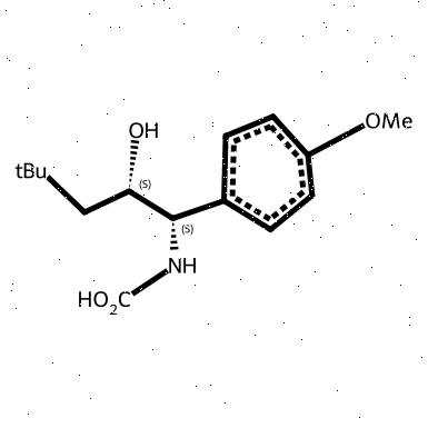 COc1ccc([C@H](NC(=O)O)[C@@H](O)CC(C)(C)C)cc1